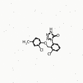 Cc1ccc(OCc2c(Cl)cccc2-n2nn[nH]c2=O)c(Cl)c1